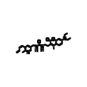 C=C/C=C\c1cc(CNC(=O)NCCc2c(C)c3ccc(N(CC)CC)cc3oc2=O)cnc1C